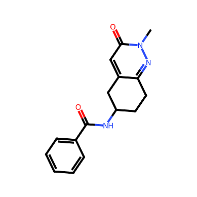 Cn1nc2c(cc1=O)CC(NC(=O)c1ccccc1)CC2